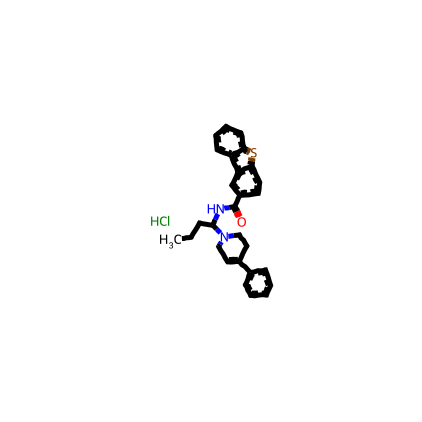 CCCC(NC(=O)c1ccc2sc3ccccc3c2c1)N1CC=C(c2ccccc2)CC1.Cl